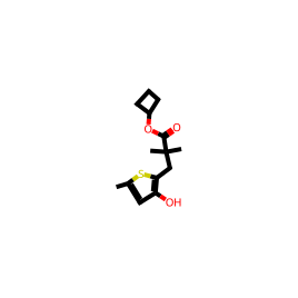 Cc1cc(O)c(CC(C)(C)C(=O)OC2CCC2)s1